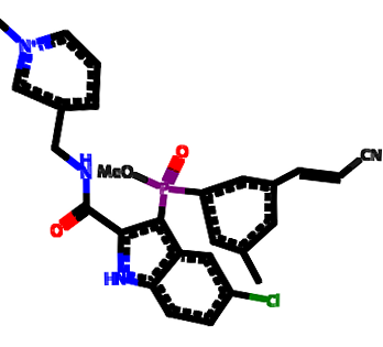 COP(=O)(c1cc(C)cc(/C=C/C#N)c1)c1c(C(=O)NCc2ccc[n+](C)c2)[nH]c2ccc(Cl)cc12